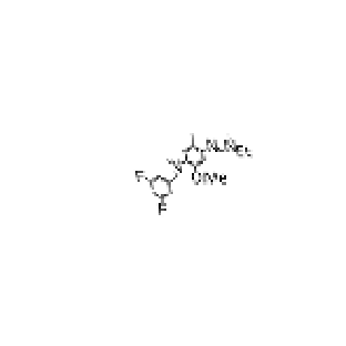 CCN(C)C=Nc1cc(OC)c(N(C)Cc2cc(F)cc(F)c2)cc1C